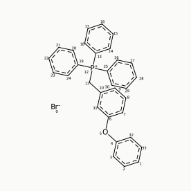 [Br-].c1ccc(Oc2cccc(C[P+](c3ccccc3)(c3ccccc3)c3ccccc3)c2)cc1